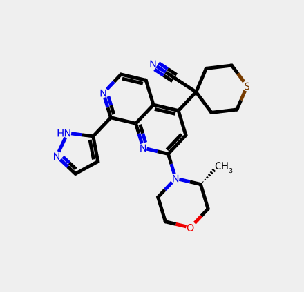 C[C@@H]1COCCN1c1cc(C2(C#N)CCSCC2)c2ccnc(-c3ccn[nH]3)c2n1